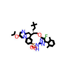 Cc1cccc(C)c1-c1nc2nc(c1F)OC[C@@H](CCC(C)(C)C)C(Cc1ncc(OC(C)C)cn1)c1cccc(c1)S(=O)(=O)N2